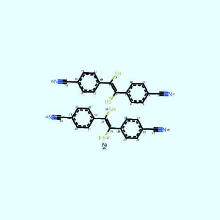 N#Cc1ccc(C(S)=C(S)c2ccc(C#N)cc2)cc1.N#Cc1ccc(C(S)=C(S)c2ccc(C#N)cc2)cc1.[Ni]